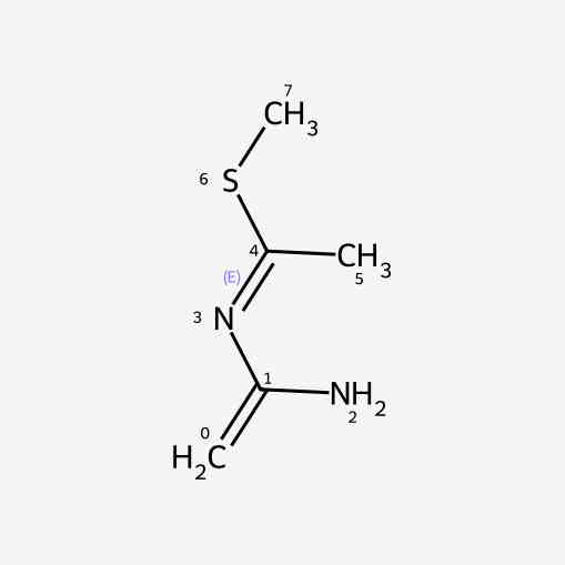 C=C(N)/N=C(\C)SC